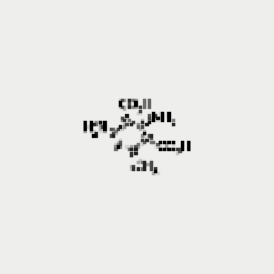 Cc1cc(N)c(C(=O)O)c(N)c1C(=O)O